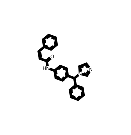 O=C(/C=C\c1ccccc1)Nc1ccc(C(c2ccccc2)n2ccnc2)cc1